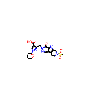 Cn1c2c(c3cnn(Cc4nn(C5CCCCO5)cc4C(=O)O)c(=O)c31)CCN(S(C)(=O)=O)C2